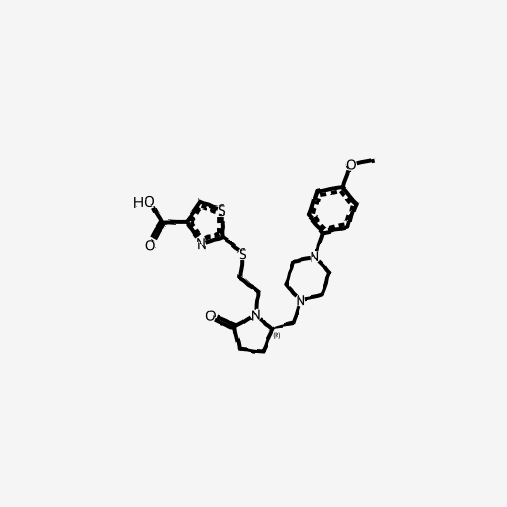 COc1ccc(N2CCN(C[C@H]3CCC(=O)N3CCSc3nc(C(=O)O)cs3)CC2)cc1